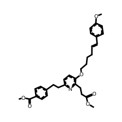 COC(=O)CCc1nc(CCc2ccc(C(=O)OC)cc2)ccc1OCCCCC=Cc1ccc(OC)cc1